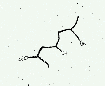 CC(=O)OC(C)CC(O)CC(C)O